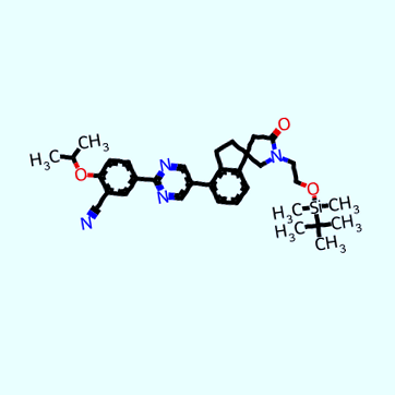 CC(C)Oc1ccc(-c2ncc(-c3cccc4c3CCC43CC(=O)N(CCO[Si](C)(C)C(C)(C)C)C3)cn2)cc1C#N